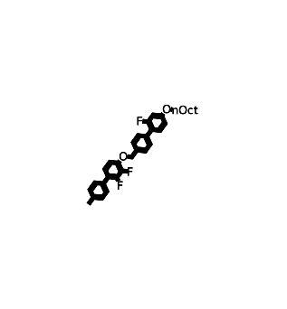 CCCCCCCCOc1ccc(-c2ccc(COc3ccc(-c4ccc(C)cc4)c(F)c3F)cc2)c(F)c1